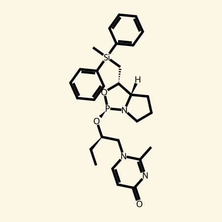 CC[C@H](Cn1ccc(=O)nc1C)O[P@@]1O[C@H](C[Si](C)(c2ccccc2)c2ccccc2)[C@@H]2CCCN21